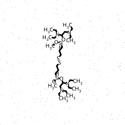 CCN(CC)CC(O[SiH](CCCSSCCC[SiH](OC)OC(CN(CC)CC)N(CC)CC)OC)N(CC)CC